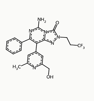 Cc1cc(-c2c(-c3ccccc3)nc(N)n3c(=O)n(CCC(F)(F)F)nc23)cc(CO)n1